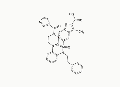 Cc1c(C(=O)O)oc2ccc(S(=O)(=O)N(CCc3ccccc3)c3ccccc3N3CCN(C(=O)c4ccsc4)CC3)cc12